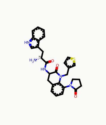 N[C@H](Cc1c[nH]c2ccccc12)C(=O)NC1Cc2cccc(N3CCCC3=O)c2N(Cc2ccsc2)C1=O